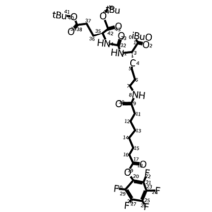 CC(C)COC(=O)[C@H](CCCCNC(=O)CCCCCCC(=O)Oc1c(F)c(F)c(F)c(F)c1F)NC(=O)N[C@@H](CCC(=O)OC(C)(C)C)C(=O)OC(C)(C)C